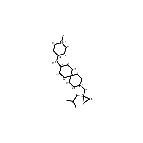 CC(C)CC1(CN2CCC3(CCC(OC4CCN(C)CC4)CC3)CC2)CC1